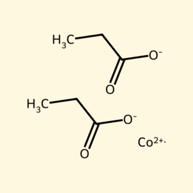 CCC(=O)[O-].CCC(=O)[O-].[Co+2]